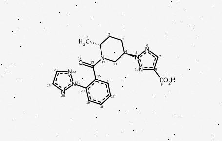 C[C@@H]1CC[C@@H](n2ncc(C(=O)O)n2)CN1C(=O)c1ccccc1-n1nccn1